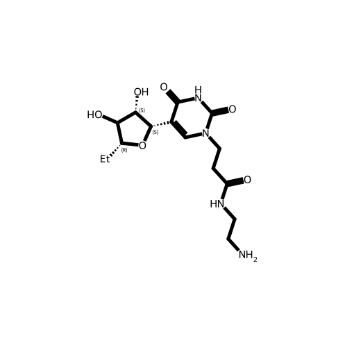 CC[C@H]1O[C@@H](c2cn(CCC(=O)NCCN)c(=O)[nH]c2=O)[C@@H](O)C1O